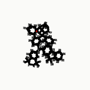 CC1(C)CCC(C)(C)c2cc(N(c3ccc4c(c3)C(C)(C)c3ccccc3-4)c3ccc(-c4ccccc4)c4c3-c3ccccc3C43C4CC5CC6CC3C64C5)ccc21